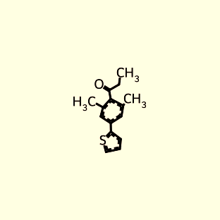 CCC(=O)c1c(C)cc(-c2cccs2)cc1C